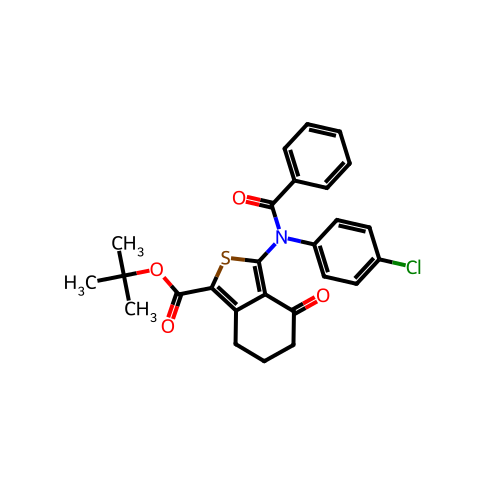 CC(C)(C)OC(=O)c1sc(N(C(=O)c2ccccc2)c2ccc(Cl)cc2)c2c1CCCC2=O